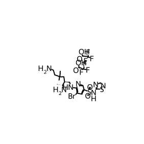 C[C@@H](N)[C@H](CNc1ncc(S(=O)(=O)Nc2ncns2)cc1Br)CC(C)(C)CCN.O=C(O)C(F)(F)F.O=C(O)C(F)(F)F